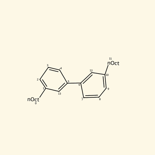 CCCCCCCCc1cc[c]c(-c2[c]ccc(CCCCCCCC)c2)c1